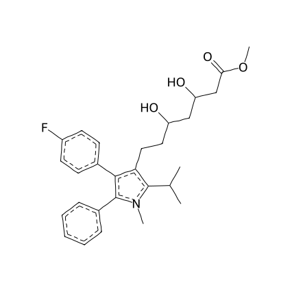 COC(=O)CC(O)CC(O)CCc1c(-c2ccc(F)cc2)c(-c2ccccc2)n(C)c1C(C)C